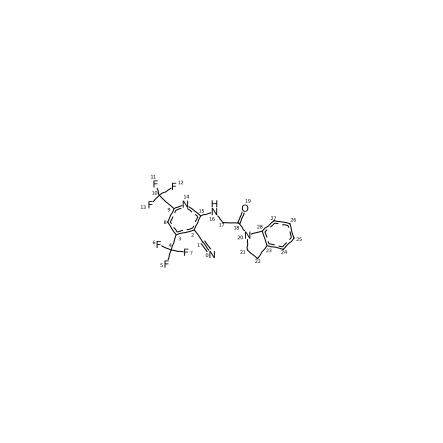 N#Cc1c(C(F)(F)F)cc(C(F)(F)F)nc1NCC(=O)N1CCc2ccccc21